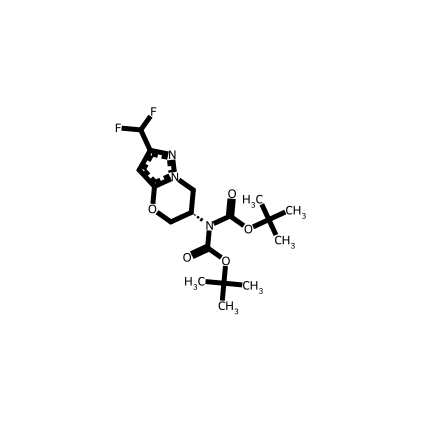 CC(C)(C)OC(=O)N(C(=O)OC(C)(C)C)[C@@H]1COc2cc(C(F)F)nn2C1